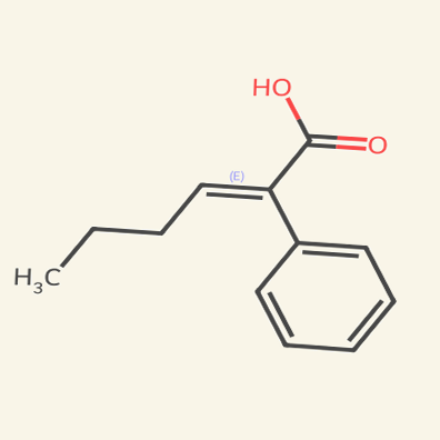 CCC/C=C(/C(=O)O)c1ccccc1